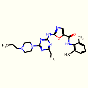 CCCN1CCN(c2nc(CC)nc(Nc3ncc(C(=O)Nc4c(C)cccc4C)o3)n2)CC1